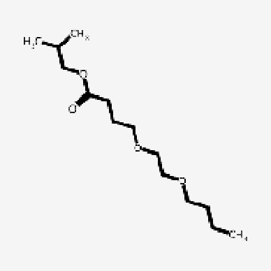 CCCCOCCOCCCC(=O)OCC(C)C